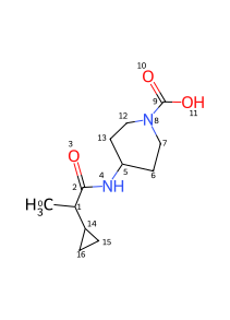 CC(C(=O)NC1CCN(C(=O)O)CC1)C1CC1